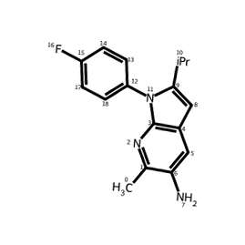 Cc1nc2c(cc1N)cc(C(C)C)n2-c1ccc(F)cc1